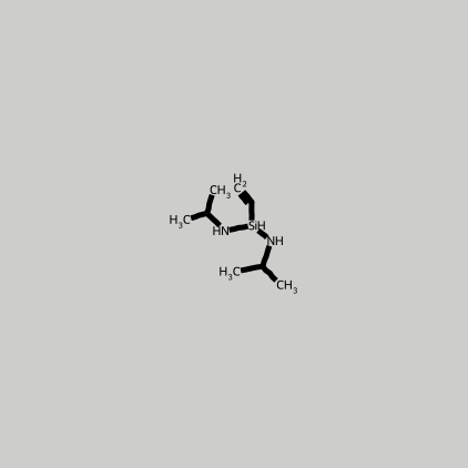 C=C[SiH](NC(C)C)NC(C)C